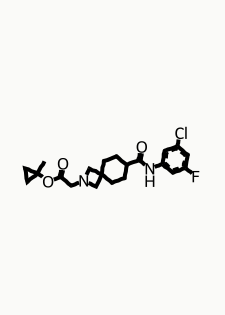 CC1(OC(=O)CN2CC3(CCC(C(=O)Nc4cc(F)cc(Cl)c4)CC3)C2)CC1